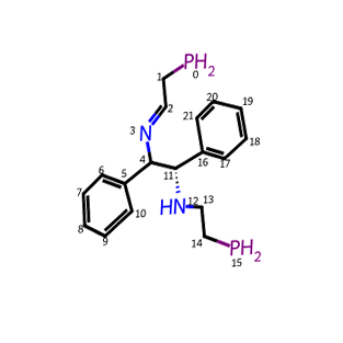 PC/C=N/C(c1ccccc1)[C@@H](NCCP)c1ccccc1